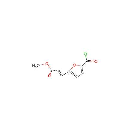 COC(=O)/C=C/c1ccc(C(=O)Cl)o1